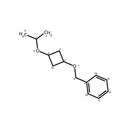 CC(C)OC1CC(OCc2ccccc2)C1